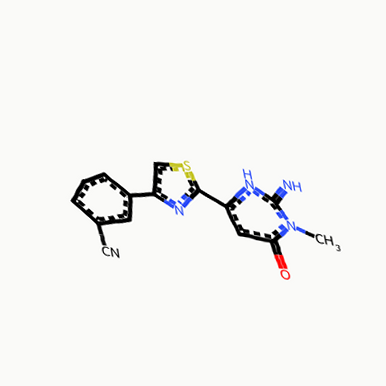 Cn1c(=O)cc(-c2nc(-c3cccc(C#N)c3)cs2)[nH]c1=N